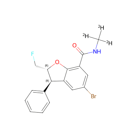 [2H]C([2H])([2H])NC(=O)c1cc(Br)cc2c1O[C@@H](CF)[C@@H]2c1ccccc1